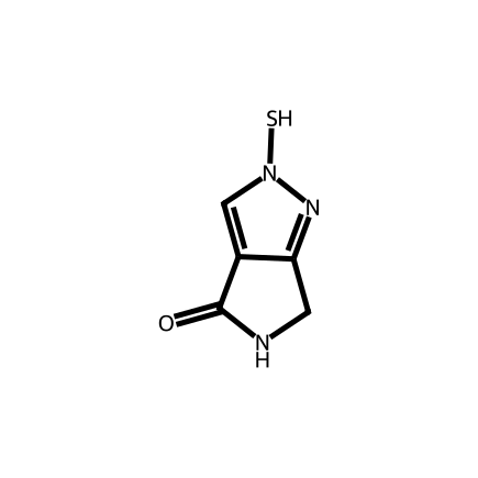 O=C1NCc2nn(S)cc21